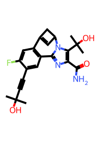 CC(C)(O)C#Cc1cc2c(cc1F)C1=CC(C1)n1c-2nc(C(N)=O)c1C(C)(C)O